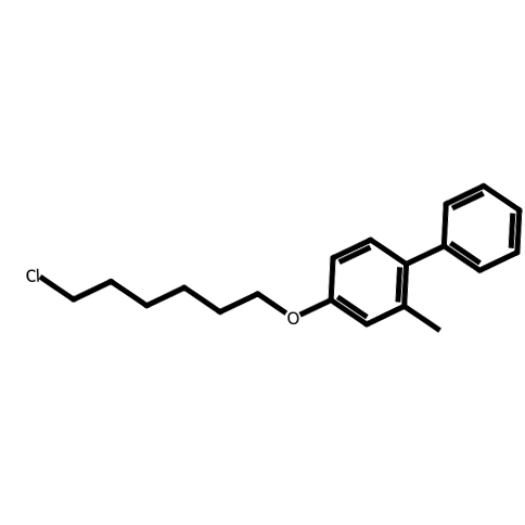 Cc1cc(OCCCCCCCl)ccc1-c1ccccc1